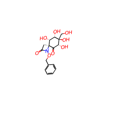 O=C1C[C@]2(C(=O)[C@@H](O)[C@@](O)(CO)[C@@H](O)[C@H]2O)N1OCc1ccccc1